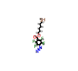 [N-]=[N+]=Nc1c(F)c(F)c(C(=O)OCCCCCCS)c(F)c1F